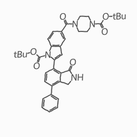 CC(C)(C)OC(=O)N1CCN(C(=O)c2ccc3c(c2)cc(-c2ccc(-c4ccccc4)c4c2C(=O)NC4)n3C(=O)OC(C)(C)C)CC1